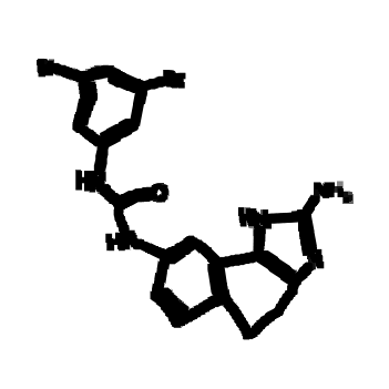 Nc1nc2c([nH]1)-c1cc(NC(=O)Nc3cc(Br)cc(Br)c3)ccc1CC2